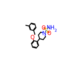 Cc1cccc(COc2ccccc2C2CCN(S(N)(=O)=O)CC2)c1